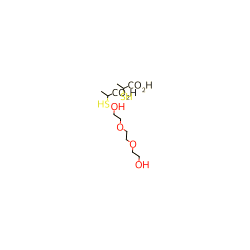 CC(S)C(=O)O.CC(S)C(=O)O.OCCOCCOCCO